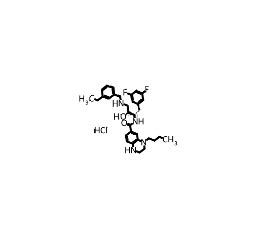 CCCCN1CCNc2ccc(C(=O)N[C@@H](Cc3cc(F)cc(F)c3)[C@@H](O)CNCc3cccc(CC)c3)cc21.Cl